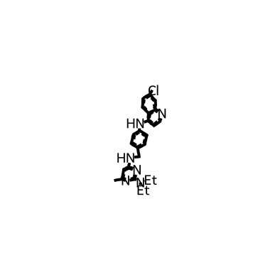 CCN(CC)c1nc(C)cc(NCc2ccc(Nc3ccnc4cc(Cl)ccc34)cc2)n1